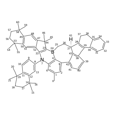 Cc1cc2c3c(c1)N(c1ccc4c(c1)C(C)(C)CCC4(C)C)C1=C(B3CC[C@H]3C4=C(c5ccccc5CC4)c4cccc-2c43)C(C)(C)c2cc3c(cc21)C(C)(C)CCC3(C)C